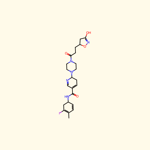 CC1=C(I)CC(NC(=O)C2=CCC(N3CCN(C(=O)CCC4CC(O)=NO4)CC3)N=C2)C=C1